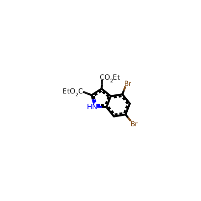 CCOC(=O)c1[nH]c2cc(Br)cc(Br)c2c1C(=O)OCC